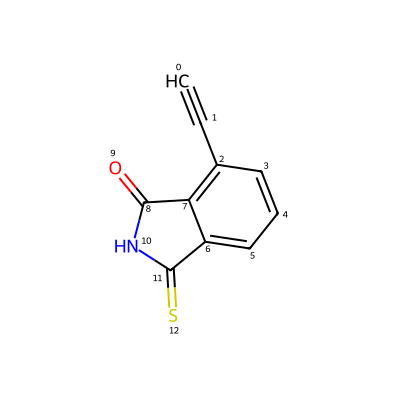 C#Cc1cccc2c1C(=O)NC2=S